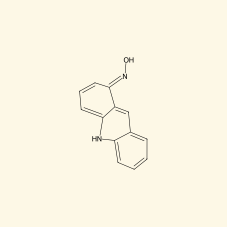 ON=c1cccc2[nH]c3ccccc3cc1-2